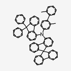 Cc1ccccc1-c1ccc(N(c2cccc3c2-c2ccccc2C3(c2ccccc2)c2ccccc2)c2cccc3c2-c2ccccc2C32c3ccccc3-c3ccccc32)cc1C